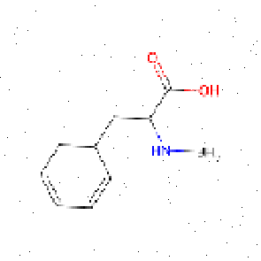 BNC(CC1C=CC=CC1)C(=O)O